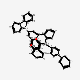 c1ccc(-c2ccc(N(c3ccccc3-c3cc(-n4c5ccccc5c5ccccc54)cc4ccccc34)c3cccc4ccccc34)cc2)cc1